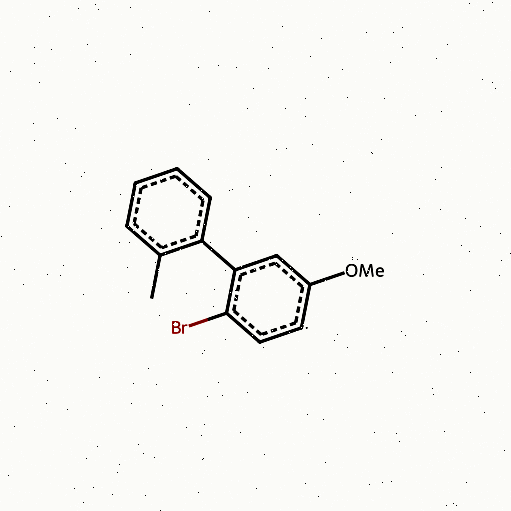 COc1[c]cc(Br)c(-c2ccccc2C)c1